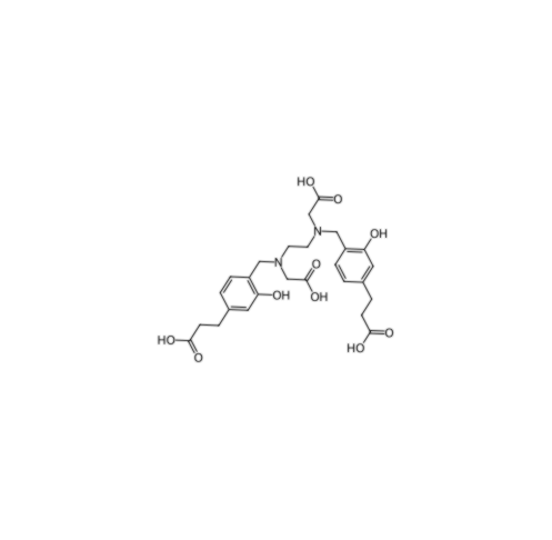 O=C(O)CCc1ccc(CN(CCN(CC(=O)O)Cc2ccc(CCC(=O)O)cc2O)CC(=O)O)c(O)c1